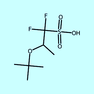 CC(OC(C)(C)C)C(F)(F)S(=O)(=O)O